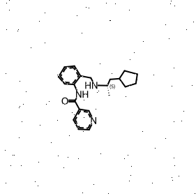 C[C@@H](CC1CCCC1)NCc1ccccc1NC(=O)c1cccnc1